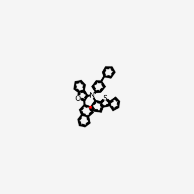 c1ccc(-c2ccc(N(c3c(-c4ccc5ccccc5c4)oc4ccccc34)c3cccc4c3sc3ccccc34)cc2)cc1